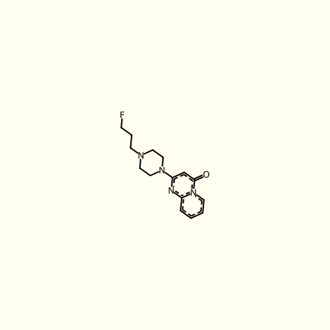 O=c1cc(N2CCN(CCCF)CC2)nc2ccccn12